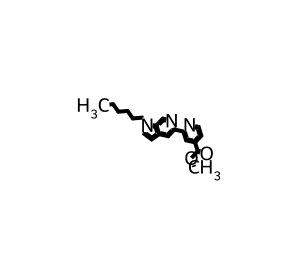 CCCCCCn1ccc2cc(-c3cc(C(=O)OC)ccn3)ncc21